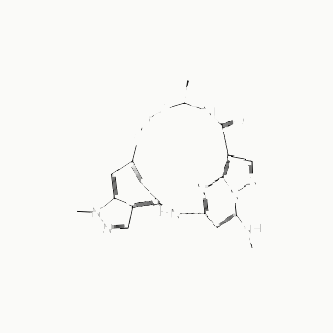 CNc1cc2nc3c(cnn13)C(=O)N[C@H](C)COCc1cc(c3cnn(C)c3c1)N2